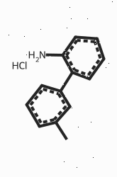 Cc1cccc(-c2ccccc2N)c1.Cl